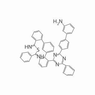 N=C(SC(=N)c1ccccc1-c1cccc(-c2ccccc2-c2nc(-c3ccccc3)nc(-c3ccc(-c4cccc(N)c4)cc3)n2)c1)c1ccccc1